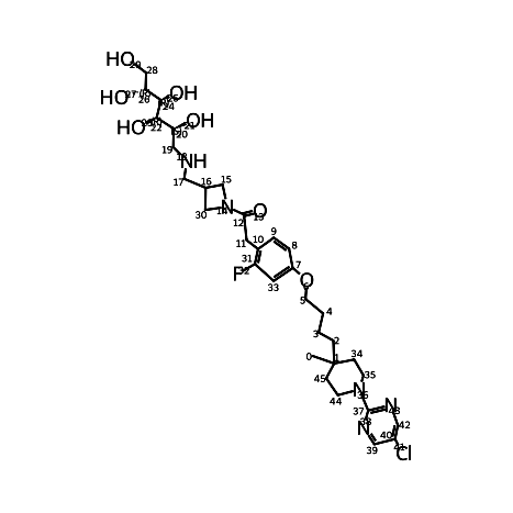 CC1(CCCCOc2ccc(CC(=O)N3CC(CNC[C@H](O)[C@@H](O)[C@H](O)[C@H](O)CO)C3)c(F)c2)CCN(c2ncc(Cl)cn2)CC1